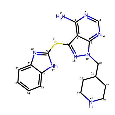 Nc1ncnc2c1c(Sc1nc3ccccc3[nH]1)nn2CC1CCNCC1